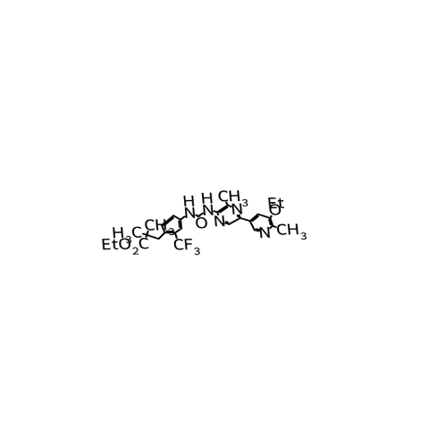 CCOC(=O)C(C)(C)Cc1ccc(NC(=O)Nc2ncc(-c3cnc(C)c(OCC)c3)nc2C)cc1C(F)(F)F